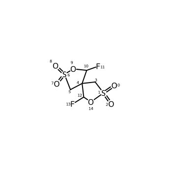 O=S1(=O)CC2(CS(=O)(=O)OC2F)C(F)O1